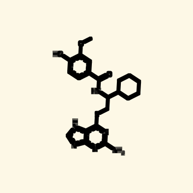 COc1cc(C(=O)NC(CSc2nc(N)nc3nc[nH]c23)C2CCCCC2)ccc1O